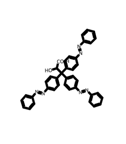 O=C(O)C(O)C(c1ccc(/N=N/c2ccccc2)cc1)(c1ccc(/N=N/c2ccccc2)cc1)c1ccc(/N=N/c2ccccc2)cc1